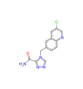 NC(=O)c1nncn1Cc1ccc2ncc(Cl)cc2c1